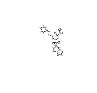 O=C(CC(CCCCc1ccccc1)S(=O)(=O)c1ccc2c(c1)OCO2)NO